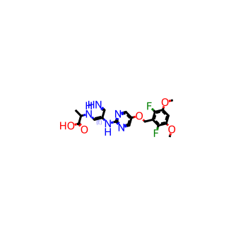 COc1cc(OC)c(F)c(COc2cnc(N/C(C=N)=C/NC(C)C(=O)O)nc2)c1F